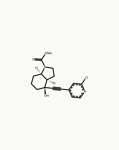 COC(=O)N1CC[C@@H]2[C@H]1CCC[C@@]2(O)C#Cc1ccnc(Cl)c1